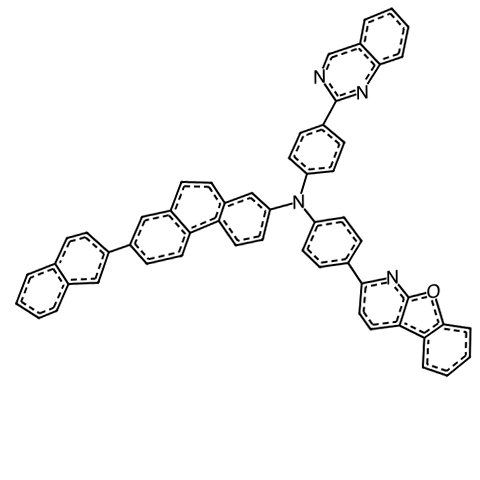 c1ccc2cc(-c3ccc4c(ccc5cc(N(c6ccc(-c7ccc8c(n7)oc7ccccc78)cc6)c6ccc(-c7ncc8ccccc8n7)cc6)ccc54)c3)ccc2c1